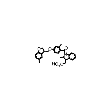 Cc1ccc2c(c1)[C@H](COc1ccc(C(=O)N3c4ccccc4C(CC(=O)O)C3C)c(C)c1)CO2